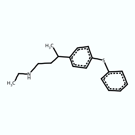 CCNCCC(C)c1ccc(Sc2ccccc2)cc1